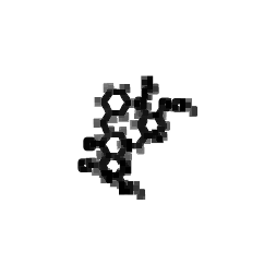 COc1cnc(CN2CC(CC3CCCCC3)C(=O)c3c(Cl)nc(N)nc32)cc1OC